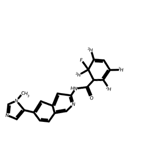 [2H]C1=CC([2H])=C([2H])C(C(=O)Nc2cc3cc(-c4cncn4C)ccc3cn2)C1([2H])F